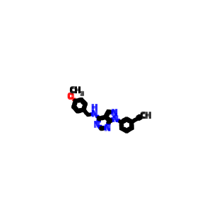 C#Cc1cccc(-n2ncc3c(NCc4ccc(OC)cc4)ncnc32)c1